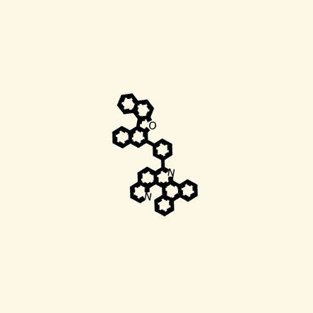 c1cc(-c2nc3c4ccccc4c4ccccc4c3c3c2ccc2cccnc23)cc(-c2cc3ccccc3c3c2oc2ccc4ccccc4c23)c1